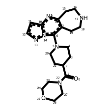 O=C(C1CCN(c2c3c(nc4ccnn24)CCNCC3)CC1)N1CCOCC1